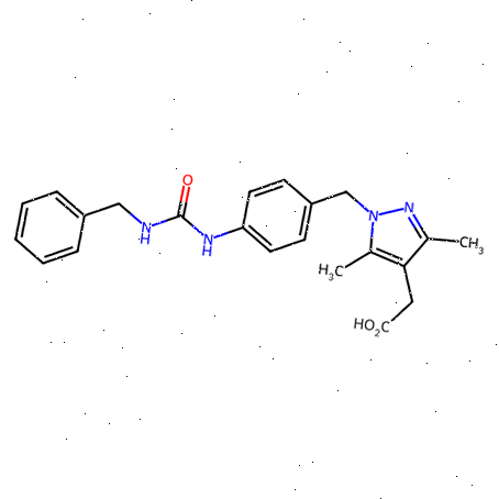 Cc1nn(Cc2ccc(NC(=O)NCc3ccccc3)cc2)c(C)c1CC(=O)O